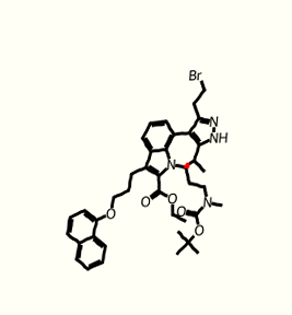 CCOC(=O)c1c(CCCOc2cccc3ccccc23)c2cccc(-c3c(CCBr)n[nH]c3C(C)C)c2n1CCCN(C)C(=O)OC(C)(C)C